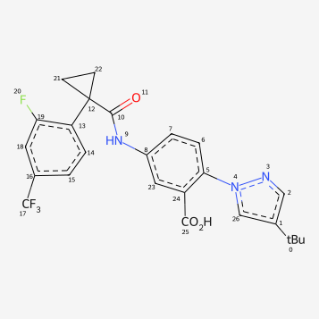 CC(C)(C)c1cnn(-c2ccc(NC(=O)C3(c4ccc(C(F)(F)F)cc4F)CC3)cc2C(=O)O)c1